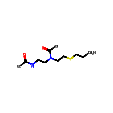 CCC(=O)NCCN(CCSCCC(=O)O)C(=O)CC